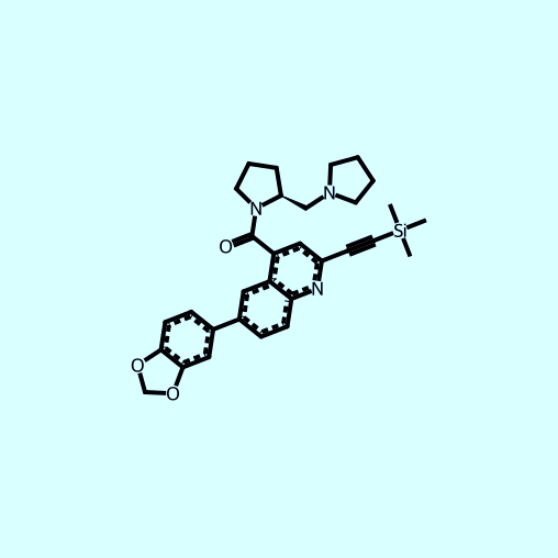 C[Si](C)(C)C#Cc1cc(C(=O)N2CCC[C@H]2CN2CCCC2)c2cc(-c3ccc4c(c3)OCO4)ccc2n1